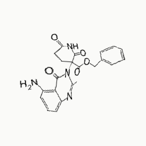 Cc1nc2cccc(N)c2c(=O)n1C1(C(=O)OCc2ccccc2)CCC(=O)NC1=O